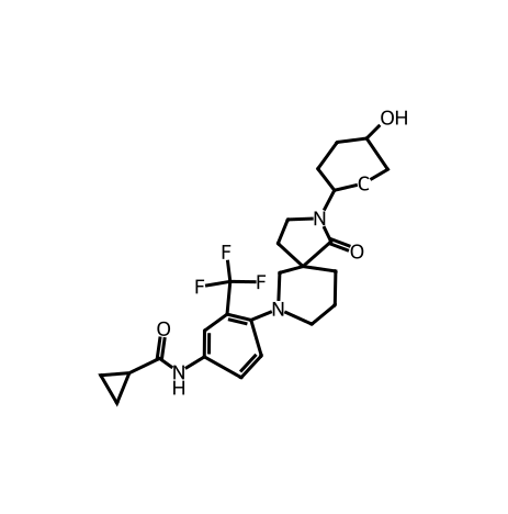 O=C(Nc1ccc(N2CCCC3(CCN(C4CCC(O)CC4)C3=O)C2)c(C(F)(F)F)c1)C1CC1